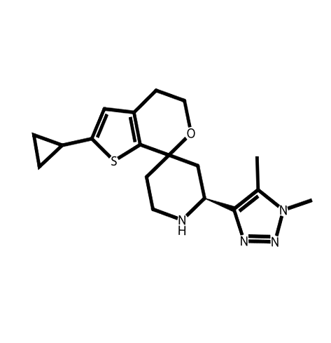 Cc1c([C@@H]2CC3(CCN2)OCCc2cc(C4CC4)sc23)nnn1C